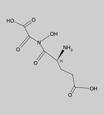 N[C@@H](CCC(=O)O)C(=O)N(O)C(=O)C(=O)O